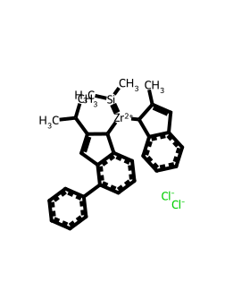 CC1=Cc2ccccc2[CH]1[Zr+2]([CH]1C(C(C)C)=Cc2c(-c3ccccc3)cccc21)=[Si](C)C.[Cl-].[Cl-]